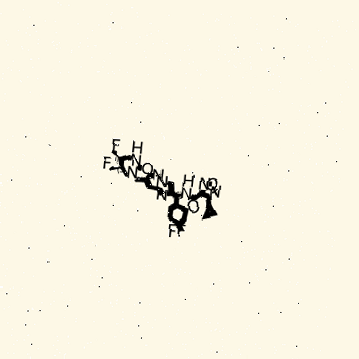 O=C(N[C@H](c1cn2ncc(CN3C[C@@H](CF)[C@@H](CF)CNC3=O)cc2n1)C1CCC(F)(F)CC1)c1nonc1C1CC1